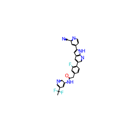 CC(F)(F)c1cncc(NC(=O)Cc2ccc(-c3cnc4[nH]c(-c5ccnc(C#N)c5)cc4c3)c(F)c2)c1